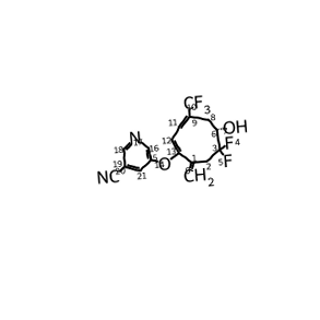 C=C1CC(F)(F)[C@@H](O)C/C(C(F)(F)F)=C\C=C/1Oc1cncc(C#N)c1